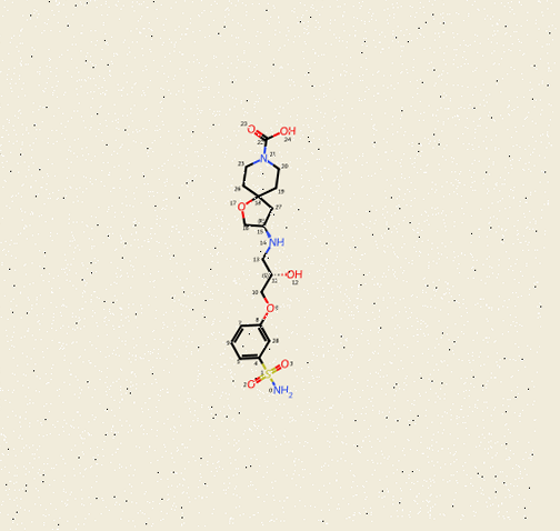 NS(=O)(=O)c1cccc(OC[C@@H](O)CN[C@H]2COC3(CCN(C(=O)O)CC3)C2)c1